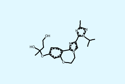 Cc1nc(-c2cn3c(n2)-c2ccc(OC(C)(O)CCO)cc2OCC3)n(C(C)C)n1